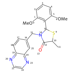 COc1cccc(OC)c1C1SC(C)C(=O)N1Cc1ccc2nccnc2c1